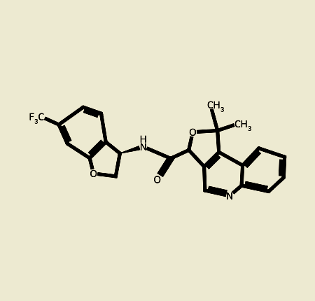 CC1(C)OC(C(=O)N[C@H]2COc3cc(C(F)(F)F)ccc32)c2cnc3ccccc3c21